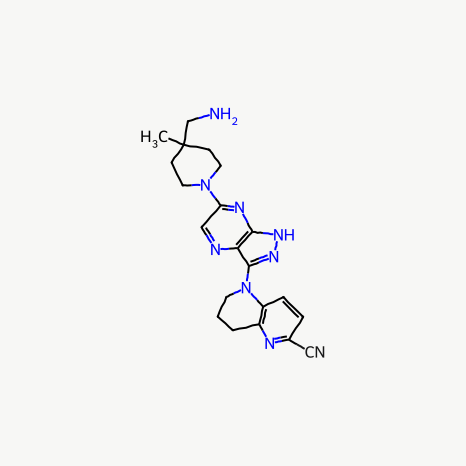 CC1(CN)CCN(c2cnc3c(N4CCCc5nc(C#N)ccc54)n[nH]c3n2)CC1